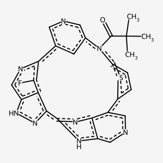 CC(C)(C)C(=O)n1c2cncc(c2)c2ncc3[nH]nc(c4nc5c(cncc5c5ccc1s5)[nH]4)c3c2F